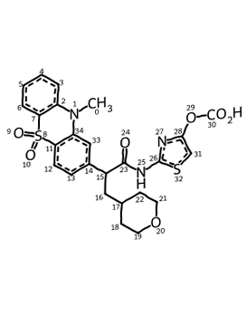 CN1c2ccccc2S(=O)(=O)c2ccc(C(CC3CCOCC3)C(=O)Nc3nc(OC(=O)O)cs3)cc21